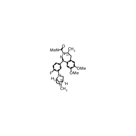 CNC(=O)N1N=C(c2ccc(F)c(N3C[C@@H]4C[C@H]3CN4C)c2)c2cc(OC)c(OC)cc2C[C@@H]1C